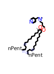 CCCCC/C=C\C/C=C\CCCCCCCCC1([C@@H](C)CCCCCCC/C=C\C/C=C\CCCCC)OCC(CCN(C)Cc2ccncc2)O1